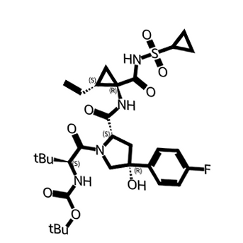 C=C[C@@H]1C[C@]1(NC(=O)[C@@H]1C[C@@](O)(c2ccc(F)cc2)CN1C(=O)[C@@H](NC(=O)OC(C)(C)C)C(C)(C)C)C(=O)NS(=O)(=O)C1CC1